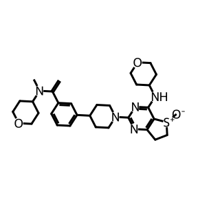 C=C(c1cccc(C2CCN(c3nc4c(c(NC5CCOCC5)n3)[S+]([O-])CC4)CC2)c1)N(C)C1CCOCC1